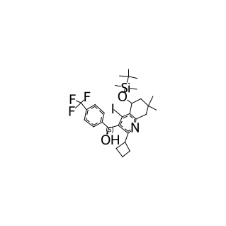 CC1(C)Cc2nc(C3CCC3)c([C@@H](O)c3ccc(C(F)(F)F)cc3)c(I)c2C(O[Si](C)(C)C(C)(C)C)C1